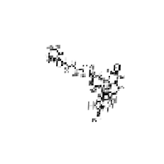 CC#C[C@]1(O)CC[C@H]2[C@@H]3CCC4=CC(=O)CCC4=C3[C@@H](c3ccc(N(C)CCCCCCOC4CCCCO4)cc3)C[C@@]21C